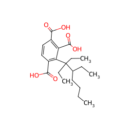 CCCCC(CC)C(CC)(CC)c1c(C(=O)O)ccc(C(=O)O)c1C(=O)O